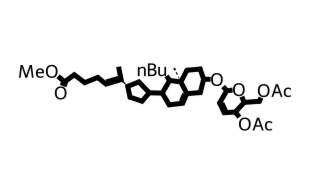 CCCCC1C(C2CC[C@H](/C(C)=C/CCCC(=O)OC)C2)CC=C2CC(OC3C=CC(OC(C)=O)C(COC(C)=O)O3)CC[C@@]21C